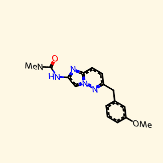 CNC(=O)Nc1cn2nc(Cc3cccc(OC)c3)ccc2n1